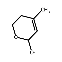 CC1=CC([O])OCC1